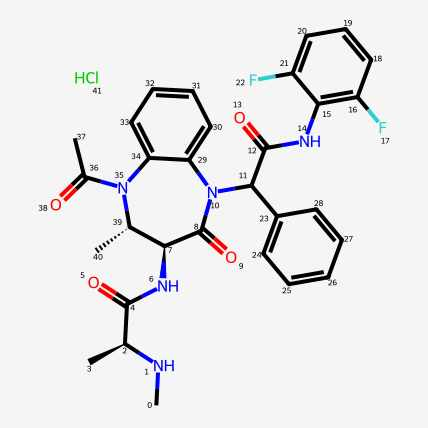 CN[C@@H](C)C(=O)N[C@@H]1C(=O)N(C(C(=O)Nc2c(F)cccc2F)c2ccccc2)c2ccccc2N(C(C)=O)[C@H]1C.Cl